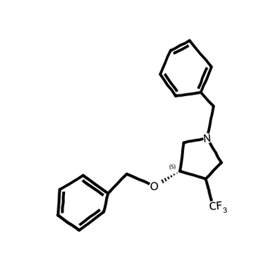 FC(F)(F)C1CN(Cc2ccccc2)C[C@H]1OCc1ccccc1